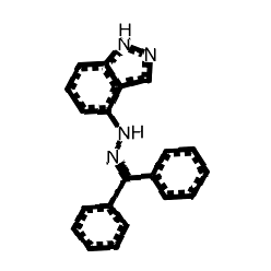 c1ccc(C(=NNc2cccc3[nH]ncc23)c2ccccc2)cc1